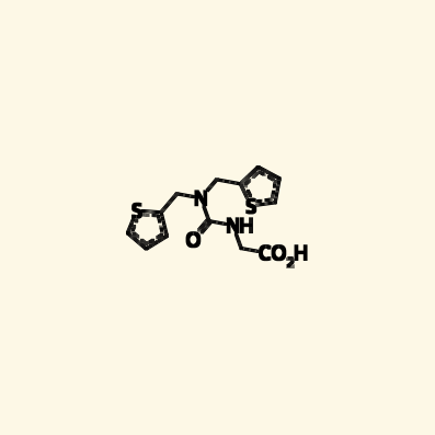 O=C(O)CNC(=O)N(Cc1cccs1)Cc1cccs1